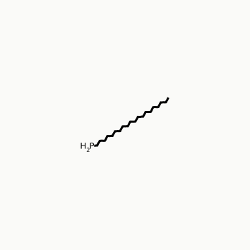 CCCCCCCCCCCCCCCCCCCCP